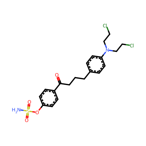 NS(=O)(=O)Oc1ccc(C(=O)CCCc2ccc(N(CCCl)CCCl)cc2)cc1